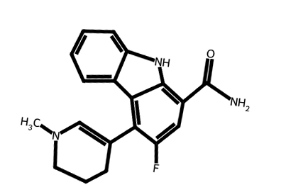 CN1C=C(c2c(F)cc(C(N)=O)c3[nH]c4ccccc4c23)CCC1